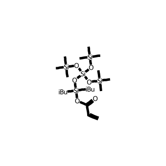 C=CC(=O)O[Si](O[Si](O[Si](C)(C)C)(O[Si](C)(C)C)O[Si](C)(C)C)(C(C)CC)C(C)CC